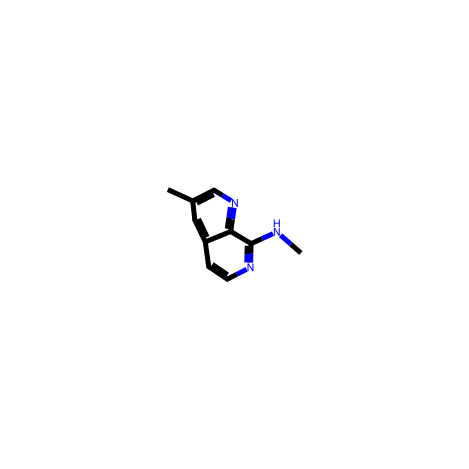 CNc1nccc2cc(C)cnc12